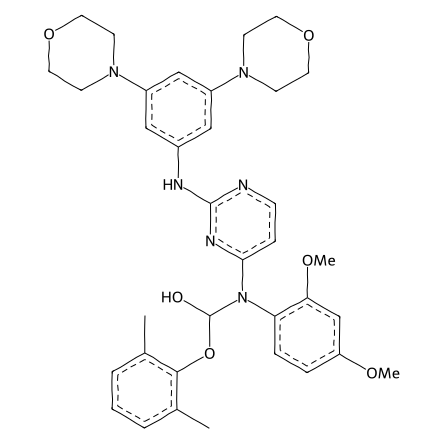 COc1ccc(N(c2ccnc(Nc3cc(N4CCOCC4)cc(N4CCOCC4)c3)n2)C(O)Oc2c(C)cccc2C)c(OC)c1